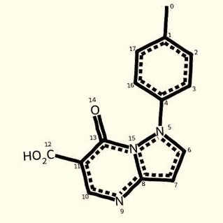 Cc1ccc(-n2ccc3ncc(C(=O)O)c(=O)n32)cc1